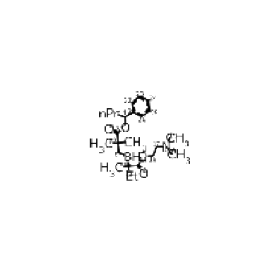 CCCC(OC(=O)C(C)(C)CBC(C)(CC)C(=O)OCCN(C)C)c1ccccc1